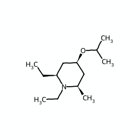 CC[C@H]1C[C@@H](OC(C)C)C[C@@H](C)N1CC